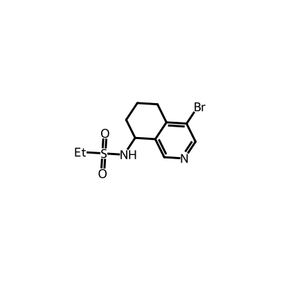 CCS(=O)(=O)NC1CCCc2c(Br)cncc21